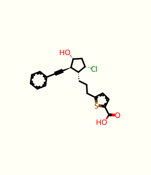 O=C(O)c1ccc(CCC[C@@H]2[C@@H](C#Cc3ccccc3)[C@H](O)C[C@@H]2Cl)s1